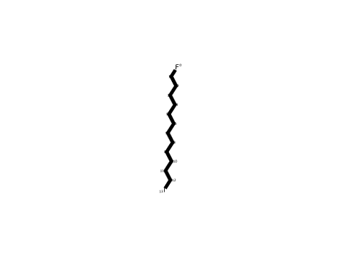 FCCCCCCCCCCCCI